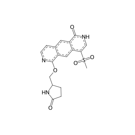 CS(=O)(=O)c1c[nH]c(=O)c2cc3ccnc(OCC4CCC(=O)N4)c3cc12